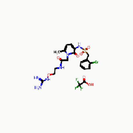 Cc1ccc(NS(=O)(=O)Cc2ccccc2Br)c(=O)n1CC(=O)NCCONC(=N)N.O=C(O)C(F)(F)F